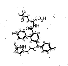 Cc1ncc(CCOC(c2ccc(F)cc2)c2ccc(C(=O)N[C@@H](CCS(C)(=O)=O)C(=O)O)c(-c3ccc(F)cc3)c2)[nH]1